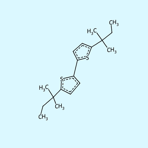 CCC(C)(C)c1ccc(-c2ccc(C(C)(C)CC)s2)s1